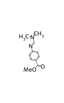 COC(=O)c1ccc(/N=C/N(C)C)cc1